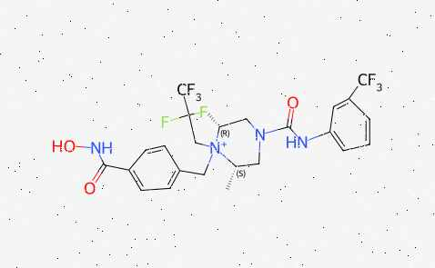 C[C@@H]1CN(C(=O)Nc2cccc(C(F)(F)F)c2)C[C@H](C)[N+]1(Cc1ccc(C(=O)NO)cc1)CC(F)(F)C(F)(F)F